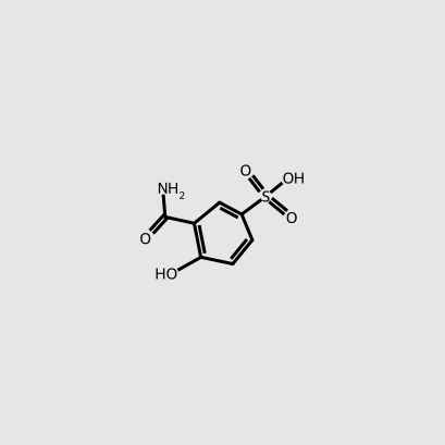 NC(=O)c1cc(S(=O)(=O)O)ccc1O